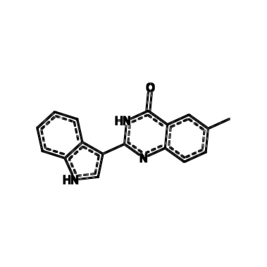 Cc1ccc2nc(-c3c[nH]c4ccccc34)[nH]c(=O)c2c1